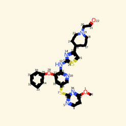 COc1ccnc(Sc2cnc(Nc3nc(C4CCN(CC=O)CC4)cs3)c(Oc3ccccc3)c2)n1